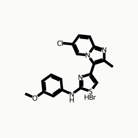 Br.COc1cccc(Nc2nc(-c3c(C)nc4ccc(Cl)cn34)cs2)c1